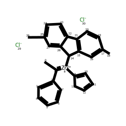 C/[C](c1ccccc1)=[Zr+2](/[C]1=CC=CC1)[CH]1c2cc(C)ccc2-c2ccc(C)cc21.[Cl-].[Cl-]